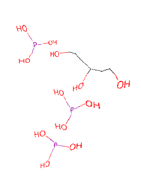 OCC(O)CO.OP(O)O.OP(O)O.OP(O)O